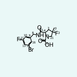 CC1(F)CC(C(=O)NCc2cc(F)cc(Br)c2)N(C(=O)O)C1